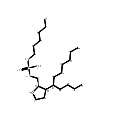 CCCCCCOP(=O)(O)OC[C@@H]1OCCC1C(CCCC)CCCCCC